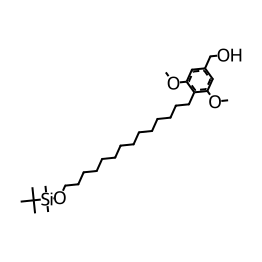 COc1cc(CO)cc(OC)c1CCCCCCCCCCCCCCO[Si](C)(C)C(C)(C)C